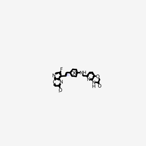 COc1ccc2ncc(F)c(/C=C/C34CCC(NCc5ccc6c(n5)NC(=O)CO6)(CC3)CO4)c2n1